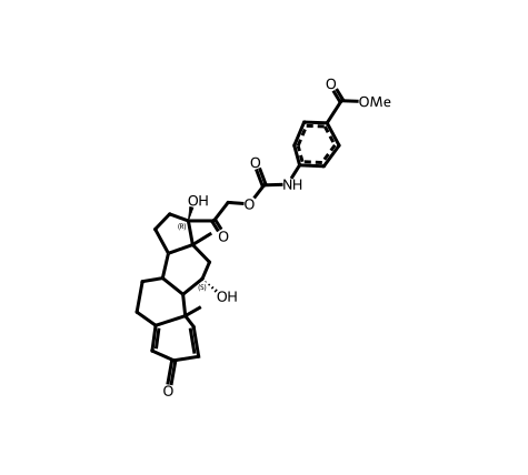 COC(=O)c1ccc(NC(=O)OCC(=O)[C@@]2(O)CCC3C4CCC5=CC(=O)C=CC5(C)C4[C@@H](O)CC32C)cc1